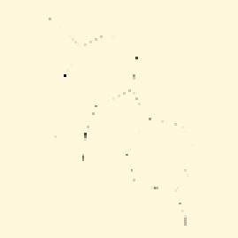 CC1(C)C2CC(I)=CCC2C2CCC(I)CC21